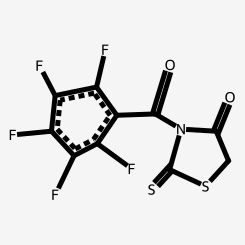 O=C1CSC(=S)N1C(=O)c1c(F)c(F)c(F)c(F)c1F